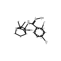 CC1(C)[C@H](N/C(=N/O)c2ccc(Cl)cc2F)C2CCN1CC2